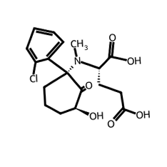 CN([C@@H](CCC(=O)O)C(=O)O)[C@@]1(c2ccccc2Cl)CCC[C@H](O)C1=O